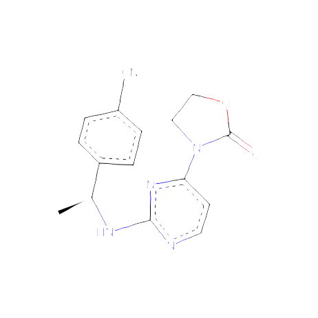 C[C@H](Nc1nccc(N2CCOC2=O)n1)c1ccc(C#N)cc1